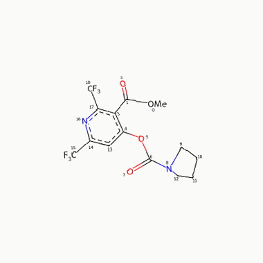 COC(=O)c1c(OC(=O)N2CCCC2)cc(C(F)(F)F)nc1C(F)(F)F